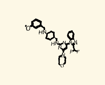 COc1cccc(CN[C@H]2CC[C@H](CNc3nc(N4CCOCC4)cc(-n4c(C(F)F)nc5ccccc54)n3)CC2)c1